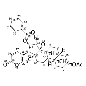 CC(=O)O[C@H]1CC[C@@]2(C)[C@H](CC[C@@H]3[C@@H]2CC[C@]2(C)[C@@H](c4ccc(=O)oc4)[C@@H](OC(=O)c4ccccc4)[C@H]4O[C@]342)C1